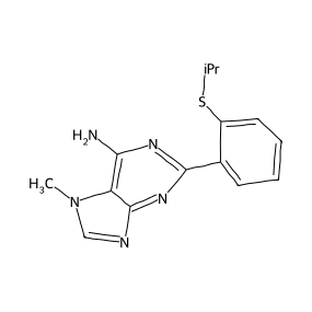 CC(C)Sc1ccccc1-c1nc(N)c2c(ncn2C)n1